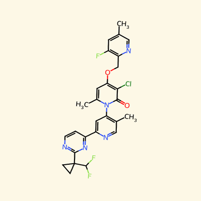 Cc1cnc(COc2cc(C)n(-c3cc(-c4ccnc(C5(C(F)F)CC5)n4)ncc3C)c(=O)c2Cl)c(F)c1